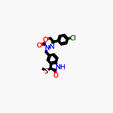 CSC1C(=O)Nc2ccc(CN3N=C(c4ccc(Cl)cc4)COC3=O)cc21